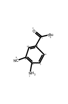 CC(C)(C)C(=O)c1ccc(N)c(C#N)c1